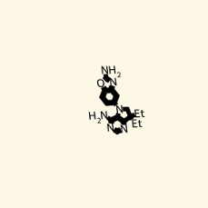 CCC1(CC)CN(c2ccc3oc(N)nc3c2)c2c(N)ncnc21